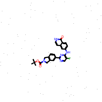 CC(C)(C)OC(=O)N1Cc2ccc(-c3ncc(F)c(Nc4ccc5c(=O)[nH]ccc5c4)n3)cc2C1